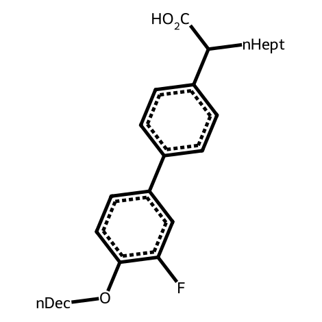 CCCCCCCCCCOc1ccc(-c2ccc(C(CCCCCCC)C(=O)O)cc2)cc1F